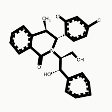 C[C@@H]1c2ccccc2C(=O)N([C@@H](CO)[C@@H](O)c2ccccc2)[C@H]1c1ccc(Cl)cc1Cl